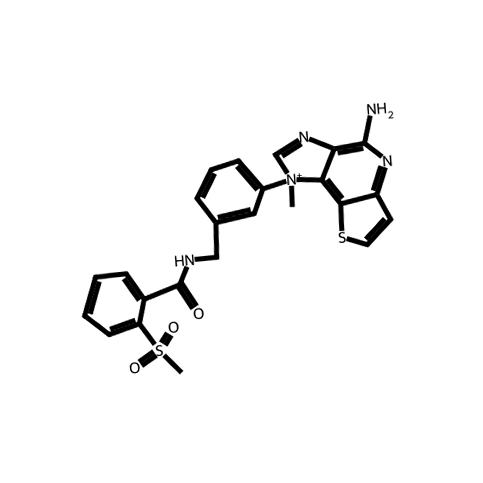 C[N+]1(c2cccc(CNC(=O)c3ccccc3S(C)(=O)=O)c2)C=Nc2c(N)nc3ccsc3c21